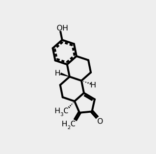 C=C1C(=O)C=C2[C@@H]3CCc4cc(O)ccc4[C@H]3CC[C@]12C